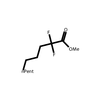 CCCCCCCCC(F)(F)C(=O)OC